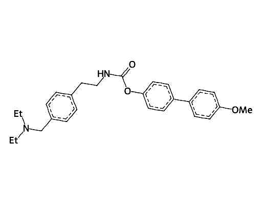 CCN(CC)Cc1ccc(CCNC(=O)Oc2ccc(-c3ccc(OC)cc3)cc2)cc1